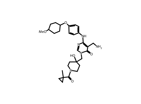 COC1CCC(Oc2ccc(Nc3ncn(CC4(O)CCN(C(=O)C5(C)CC5)CC4)c(=O)c3CN)cc2)CC1